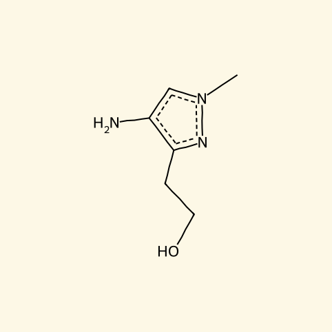 Cn1cc(N)c(CCO)n1